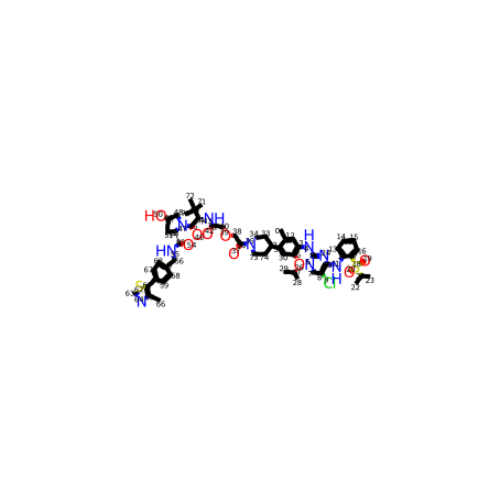 Cc1cc(Nc2ncc(Cl)c(Nc3ccccc3S(=O)(=O)C(C)C)n2)c(OC(C)C)cc1C1CCN(C(=O)COCC(=O)N[C@H](C(=O)N2C[C@H](O)C[C@H]2C(=O)NCc2ccc(-c3scnc3C)cc2)C(C)(C)C)CC1